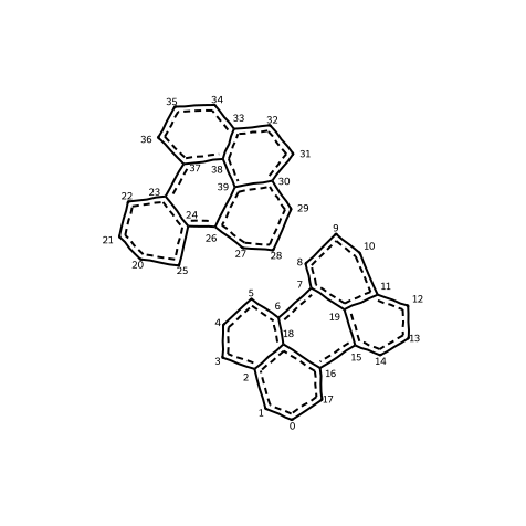 c1cc2cccc3c4cccc5cccc(c(c1)c23)c54.c1ccc2c(c1)c1cccc3ccc4cccc2c4c31